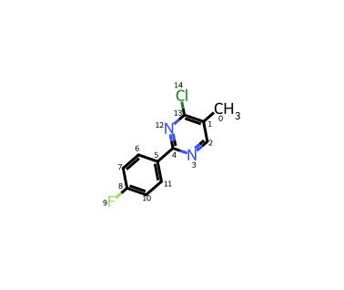 Cc1cnc(-c2ccc(F)cc2)nc1Cl